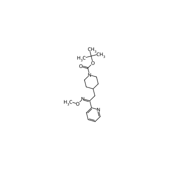 CON=C(CC1CCN(C(=O)OC(C)(C)C)CC1)c1ccccn1